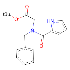 CC(C)(C)OC(=O)CN(Cc1ccccc1)C(=O)c1ccc[nH]1